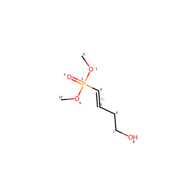 COP(=O)(/C=C/CCO)OC